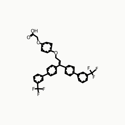 O=C(O)COc1ccc(OCC=C(c2ccc(-c3cccc(C(F)(F)F)c3)cc2)c2ccc(-c3cccc(C(F)(F)F)c3)cc2)cc1